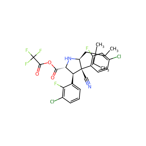 CCC(C)(CC)C[C@@H]1N[C@@H](C(=O)OC(=O)C(F)(F)F)[C@H](c2cccc(Cl)c2F)[C@@]1(C#N)c1ccc(Cl)cc1F